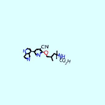 CC(COc1ncc(-c2ccnc3ccncc23)cc1C#N)CC(C)(C)NC(=O)O